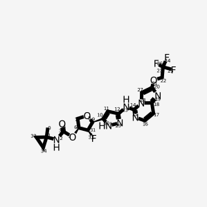 CC1(NC(=O)O[C@H]2CO[C@@H](c3cc(Nc4nccc5nc(OCC(F)(F)F)cn45)n[nH]3)[C@H]2F)CC1